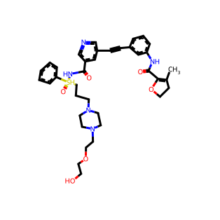 CC1=C(C(=O)Nc2cccc(C#Cc3cncc(C(=O)N[SH](=O)(CCCN4CCN(CCOCCO)CC4)c4ccccc4)c3)c2)OCC1